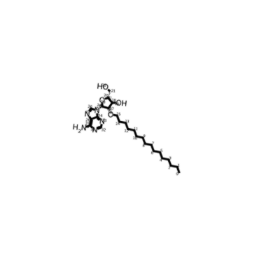 CCCCCCCCCCCCCCCCO[C@H]1C(O)[C@@H](CO)O[C@H]1n1cnc2c(N)ncnc21